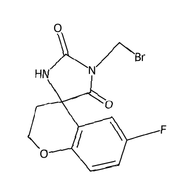 O=C1NC2(CCOc3ccc(F)cc32)C(=O)N1CBr